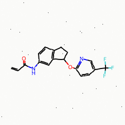 C=CC(=O)Nc1ccc2c(c1)C(Oc1ccc(C(F)(F)F)cn1)CC2